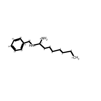 CCCCCCCC(N)NCc1ccccc1